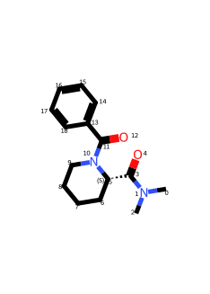 CN(C)C(=O)[C@@H]1CCCCN1C(=O)c1ccccc1